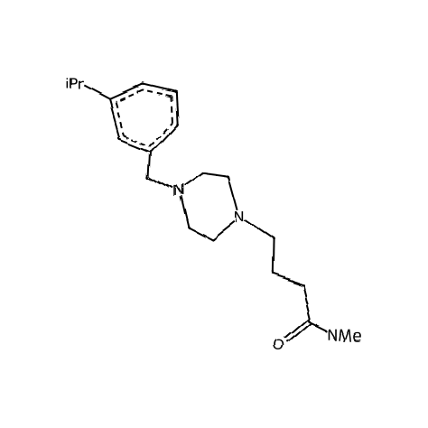 CNC(=O)CCCN1CCN(Cc2cccc(C(C)C)c2)CC1